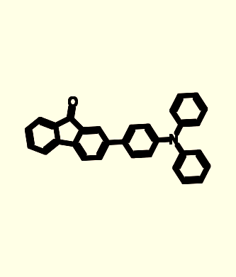 O=C1c2ccccc2-c2ccc(-c3ccc(N(c4ccccc4)c4ccccc4)cc3)cc21